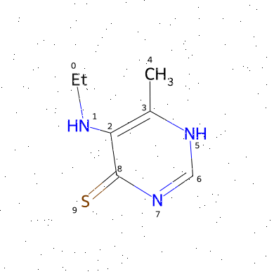 CCNc1c(C)[nH]cnc1=S